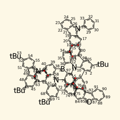 CC(C)(C)c1cc(-c2ccccc2)c(N2c3cc(-c4ccc5c(c4)c4ccccc4n5-c4ccccc4)ccc3B3c4ccc(-n5c6ccc(C(C)(C)C)cc6c6cc(C(C)(C)C)ccc65)cc4N(c4c(-c5ccccc5)cc(C(C)(C)C)cc4-c4ccccc4)c4cc(-c5ccc6oc7ccccc7c6c5)cc2c43)c(-c2ccccc2)c1